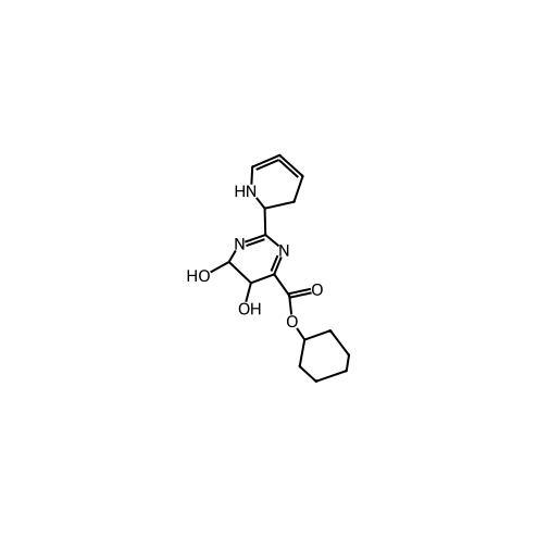 O=C(OC1CCCCC1)C1=NC(C2CC=C=CN2)=NC(O)C1O